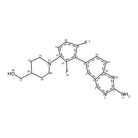 Nc1ncc2cc(-c3c(F)ccc(N4CCC(CO)CC4)c3F)ccc2n1